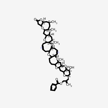 C=C(COC(=O)c1ccccc1)C[C@@H]1C[C@H](O)[C@@H]2O[C@@H]3C[C@]4(C)O[C@@H]5/C=C\C[C@@H]6O[C@H]7C(C/C=C\CC6OC5CCCC4OC3CC2O1)OC1CC2OC3CC(=O)O[C@H]3C[C@@H](C)C[C@@]2(C)O[C@H]1C[C@@H]7C